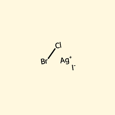 ClBr.[Ag+].[I-]